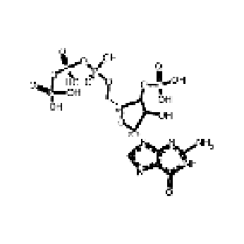 Nc1nc2c(ncn2[C@@H]2O[C@H](COP(=O)(O)OP(=O)(O)OP(=O)(O)O)C(OP(=O)(O)O)C2O)c(=O)[nH]1